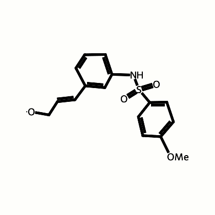 COc1ccc(S(=O)(=O)Nc2cccc(/C=C/C[O])c2)cc1